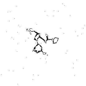 Cc1cn(-c2cncc(C(F)(F)F)c2)/c(=N/C(=O)N2CCCC2)s1